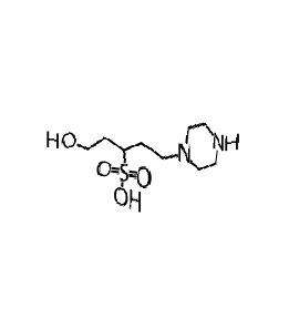 O=S(=O)(O)C(CCO)CCN1CCNCC1